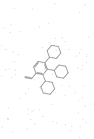 C=Cc1ccc(C2CCCCC2)c(C2CCCCC2)c1C1CCCCC1